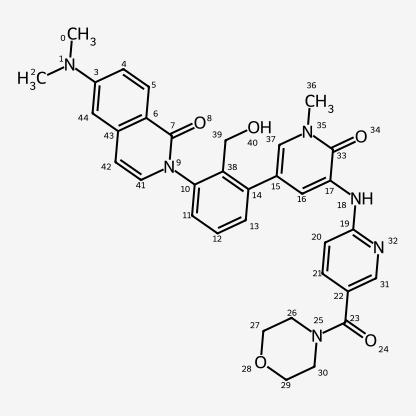 CN(C)c1ccc2c(=O)n(-c3cccc(-c4cc(Nc5ccc(C(=O)N6CCOCC6)cn5)c(=O)n(C)c4)c3CO)ccc2c1